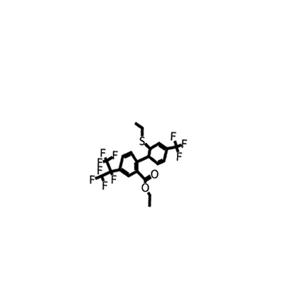 CCOC(=O)c1cc(C(F)(C(F)(F)F)C(F)(F)F)ccc1C1C=CC(C(F)(F)F)=CC1SCC